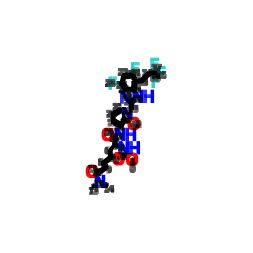 COC(=O)N[C@@H](CC/C=C/C(=O)N(C)C)C(=O)Nc1cccn(Cc2nc3c(F)cc(F)c(CCC(F)(F)F)c3[nH]2)c1=O